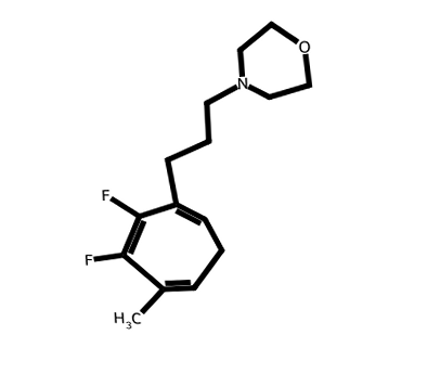 CC1=CCC=C(CCCN2CCOCC2)C(F)=C1F